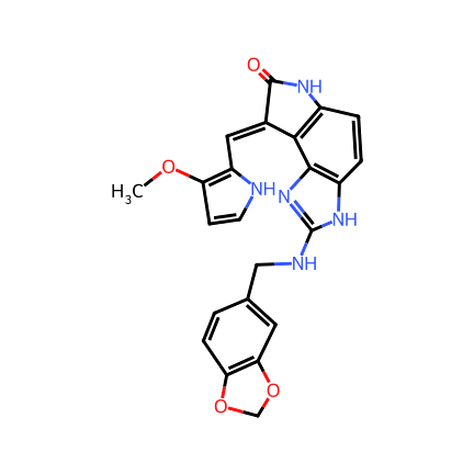 COc1cc[nH]c1/C=C1/C(=O)Nc2ccc3[nH]c(NCc4ccc5c(c4)OCO5)nc3c21